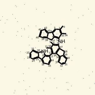 Cc1cc2c(c(Nc3c(C)c(C)c(-c4cccc5c4[nH]c4ccccc45)c4c3Cc3ccccc3-4)c1C)Cc1ccccc1-2